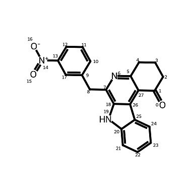 O=C1CCCc2nc(Cc3cccc([N+](=O)[O-])c3)c3[nH]c4ccccc4c3c21